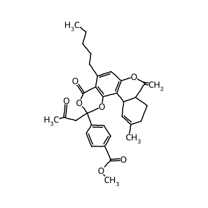 C=C1Oc2cc(CCCCC)c3c(c2C2C=C(C)CCC12)OC(CC(C)=O)(c1ccc(C(=O)OC)cc1)OC3=O